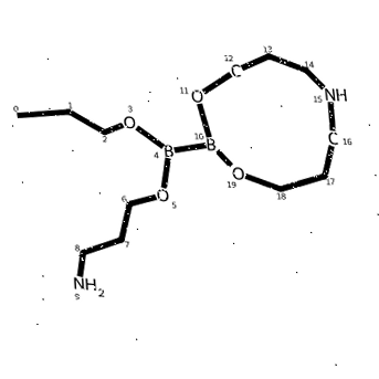 CCCOB(OCCCN)B1OCCCNCCCO1